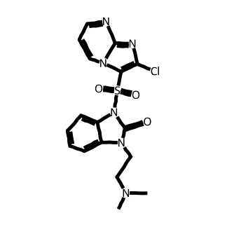 CN(C)CCn1c(=O)n(S(=O)(=O)c2c(Cl)nc3ncccn23)c2ccccc21